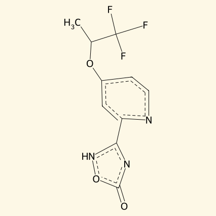 CC(Oc1ccnc(-c2nc(=O)o[nH]2)c1)C(F)(F)F